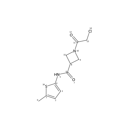 Cc1ccc(NC(=O)C2CN(C(=O)CCl)C2)s1